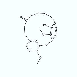 COc1ccc2cc1Oc1ccc(c(O)c1OC)CCCCC(=O)CC2